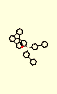 c1ccc(-c2ccc(N(c3ccc(C45c6ccccc6-c6cccc(c64)-c4ccccc45)cc3)c3cccc(-c4ccccc4)c3)cc2)cc1